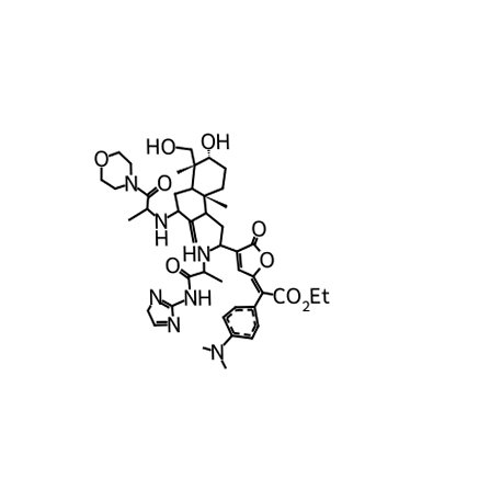 C=C1C(NC(C)C(=O)N2CCOCC2)CC2[C@](C)(CC[C@@H](O)[C@@]2(C)CO)C1CC(NC(C)C(=O)NC1=NCC=N1)C1=C/C(=C(/C(=O)OCC)c2ccc(N(C)C)cc2)OC1=O